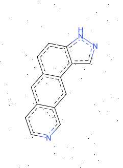 c1cc2cc3ccc4[nH]ncc4c3cc2cn1